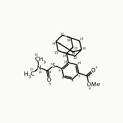 COC(=O)c1ccc(SC(=O)N(C)C)c(C23CC4CC(CC(C4)C2)C3)c1